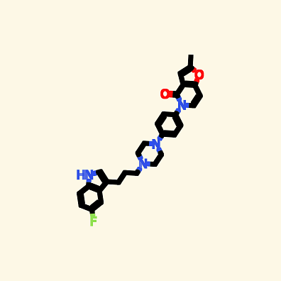 Cc1cc2c(=O)n(-c3ccc(N4CCN(CCCc5c[nH]c6ccc(F)cc56)CC4)cc3)ccc2o1